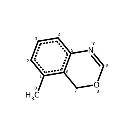 Cc1cccc2c1COC=N2